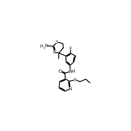 CCCSc1ncccc1C(=O)Nc1ccc(F)c(C2(C)CCSC(N)=N2)c1